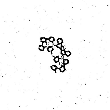 Cc1cccc(N(c2cc3c4cc(N(c5cccc(C)c5)c5cccc6c5oc5c(-c7ccccc7C)cccc56)c5ccccc5c4oc3c3ccccc23)c2cccc3c2oc2c(-c4ccccc4C)cccc23)c1